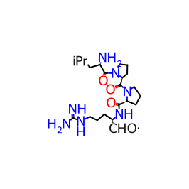 CC(C)C[C@H](N)C(=O)N1CCC[C@H]1C(=O)N1CCC[C@H]1C(=O)N[C@H]([C]=O)CCCNC(=N)N